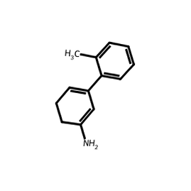 Cc1ccccc1C1=CCCC(N)=C1